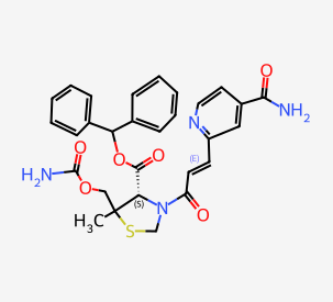 CC1(COC(N)=O)SCN(C(=O)/C=C/c2cc(C(N)=O)ccn2)[C@H]1C(=O)OC(c1ccccc1)c1ccccc1